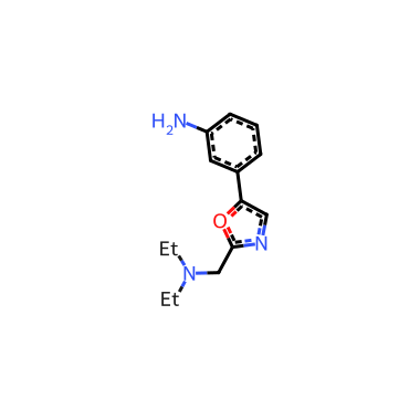 CCN(CC)Cc1ncc(-c2cccc(N)c2)o1